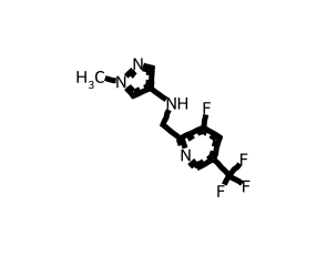 Cn1cc(NCc2ncc(C(F)(F)F)cc2F)cn1